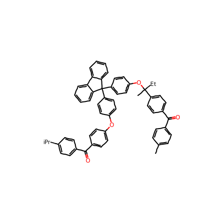 CCC(C)(Oc1ccc(C2(c3ccc(Oc4ccc(C(=O)c5ccc(C(C)C)cc5)cc4)cc3)c3ccccc3-c3ccccc32)cc1)c1ccc(C(=O)c2ccc(C)cc2)cc1